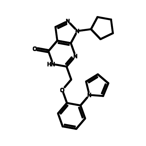 O=c1[nH]c(COc2ccccc2-n2cccc2)nc2c1cnn2C1CCCC1